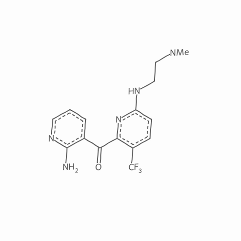 CNCCNc1ccc(C(F)(F)F)c(C(=O)c2cccnc2N)n1